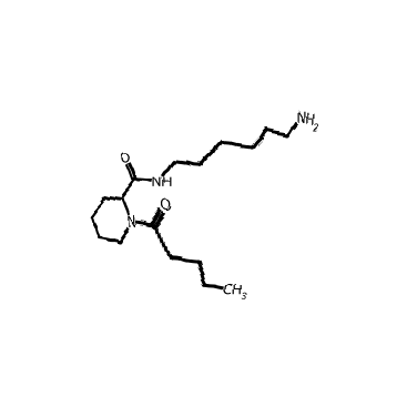 CCCCC(=O)N1CCCCC1C(=O)NCCCCCCN